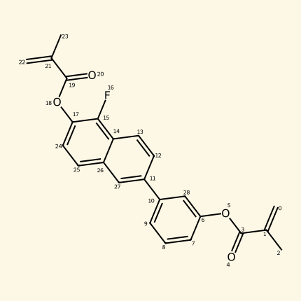 C=C(C)C(=O)Oc1cccc(-c2ccc3c(F)c(OC(=O)C(=C)C)ccc3c2)c1